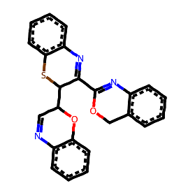 C1=Nc2ccccc2OC1C1Sc2ccccc2N=C1C1=Nc2ccccc2CO1